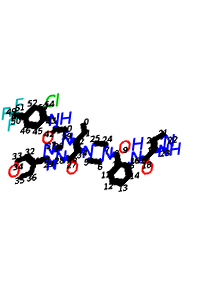 CCc1c(N2CCN(C(=O)c3ccccc3NC(=O)c3ccn[nH]3)CC2)c(=O)n2nc(C3=CCOCC3)nc2n1CC(=O)Nc1ccc(C(F)(F)F)cc1Cl